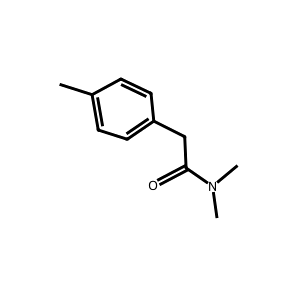 Cc1ccc(CC(=O)N(C)C)cc1